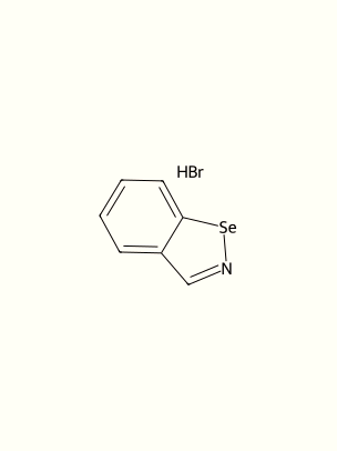 Br.c1ccc2[se]ncc2c1